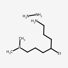 CCC(CCCN)CCCN(C)C.NN